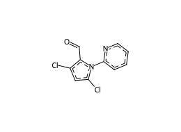 O=Cc1c(Cl)cc(Cl)n1-c1ccccn1